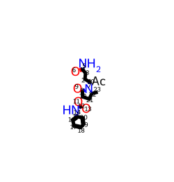 CC(=O)C(CCC(N)=O)N1C(=O)[C@@H](OC(=O)Nc2ccccc2)CC1C